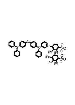 CC(C)c1ccc(S(=O)(=O)[O-])c(C(C)C)c1C(C)C.CC(C)c1ccc(S(=O)(=O)[O-])c(C(C)C)c1C(C)C.c1ccc([S+](c2ccccc2)c2ccc(Oc3ccc([S+](c4ccccc4)c4ccccc4)cc3)cc2)cc1